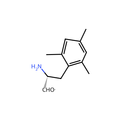 Cc1cc(C)c(C[C@@H](N)[C]=O)c(C)c1